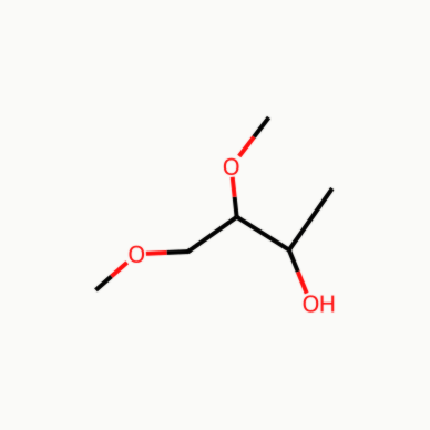 COCC(OC)C(C)O